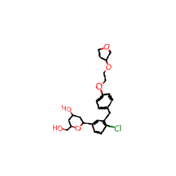 OCC1CC(O)CC(c2ccc(Cl)c(Cc3ccc(OCCOC4CCOC4)cc3)c2)O1